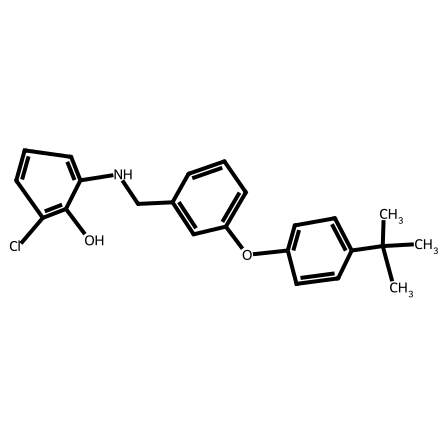 CC(C)(C)c1ccc(Oc2cccc(CNc3cccc(Cl)c3O)c2)cc1